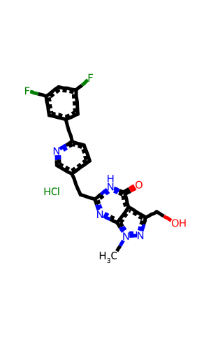 Cl.Cn1nc(CO)c2c(=O)[nH]c(Cc3ccc(-c4cc(F)cc(F)c4)nc3)nc21